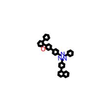 c1ccc(-c2nc(-c3ccc(-c4ccc5c(c4)oc4cccc(-c6ccccc6)c45)cc3)nc(-c3ccc(-c4cccc5ccccc45)cc3)n2)cc1